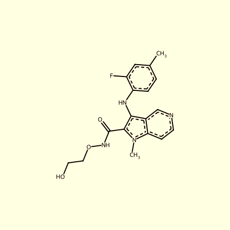 Cc1ccc(Nc2c(C(=O)NOCCO)n(C)c3ccncc23)c(F)c1